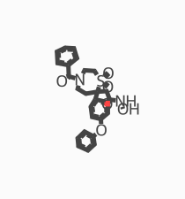 O=C(CC1(c2ccc(Oc3ccccc3)cc2)CCN(C(=O)c2ccccc2)CCS1(=O)=O)NO